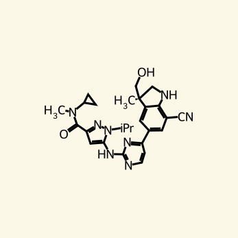 CC(C)n1nc(C(=O)N(C)C2CC2)cc1Nc1nccc(-c2cc(C#N)c3c(c2)[C@@](C)(CO)CN3)n1